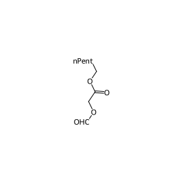 CCCCCCOC(=O)COC=O